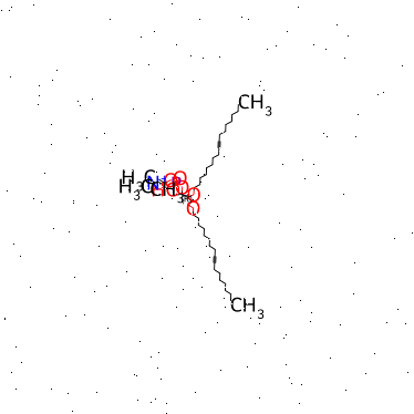 CCCCCCCCC#CCCCCCCCCOC[C@H](COP(=O)(O)OCC[N+](C)(C)C)OCCCCCCCCC#CCCCCCCCC